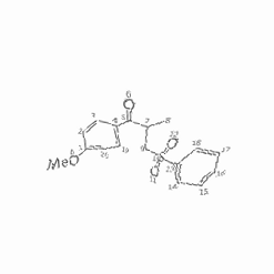 COc1ccc(C(=O)C(C)CS(=O)(=O)c2ccccc2)cc1